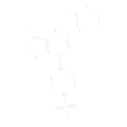 CC1COCCN1c1cc(N2CCN(S(C)(=O)=O)CC2)n2ncc(I)c2n1